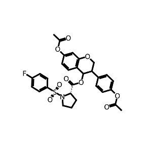 CC(=O)Oc1ccc(C2COc3cc(OC(C)=O)ccc3C2OC(=O)[C@@H]2CCCN2S(=O)(=O)c2ccc(F)cc2)cc1